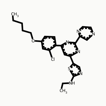 CCCCCOc1ccc(-c2cc(-c3cnc(NCC)s3)nc(-c3cnccn3)n2)c(Cl)c1